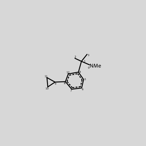 CNC(C)(C)c1cccc(C2CC2)c1